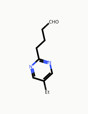 CCc1cnc(CCCC=O)nc1